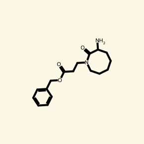 NC1CCCCCN(CCC(=O)OCc2ccccc2)C1=O